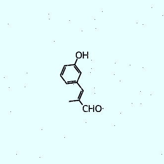 CC([C]=O)=Cc1cccc(O)c1